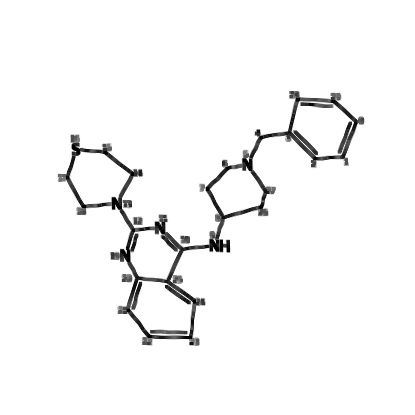 c1ccc(CN2CCC(Nc3nc(N4CCSCC4)nc4ccccc34)CC2)cc1